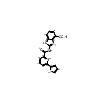 O=C(Nc1nc2c(C(=O)O)cccc2[nH]1)c1cccc(-c2cccs2)n1